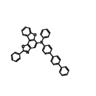 c1ccc(-c2ccc(-c3ccc(N(c4ccccc4)c4cc5nc(-c6ccccc6)oc5c5c4oc4ccccc45)cc3)cc2)cc1